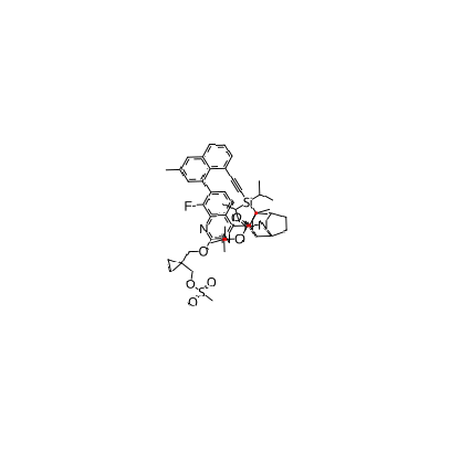 Cc1cc(-c2ccc3c(N4CC5CCC(C4)N5C(=O)OC(C)(C)C)nc(OCC4(COS(C)(=O)=O)CC4)nc3c2F)c2c(C#C[Si](C(C)C)(C(C)C)C(C)C)cccc2c1